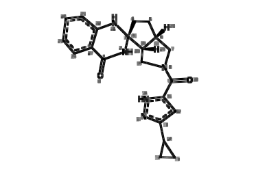 O=C1N[C@]2(CC[C@@H]3CN(C(=O)c4cc(C5CC5)n[nH]4)C[C@@H]32)Nc2ccccc21